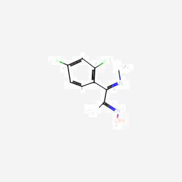 CO/N=C(/C(C)=N/O)c1ccc(F)cc1F